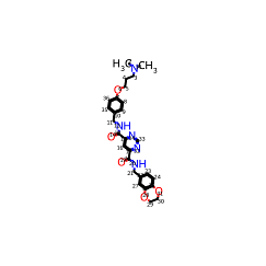 CN(C)CCCOc1ccc(CNC(=O)c2cc(C(=O)NCc3ccc4c(c3)OCCO4)ncn2)cc1